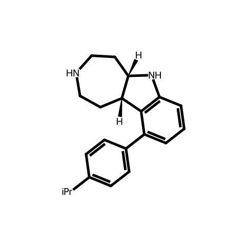 CC(C)c1ccc(-c2cccc3c2[C@@H]2CCNCC[C@@H]2N3)cc1